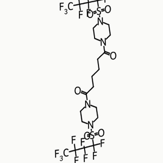 O=C(CCCCC(=O)N1CCN(S(=O)(=O)C(F)(F)C(F)(F)C(F)(F)C(F)(F)F)CC1)N1CCN(S(=O)(=O)C(F)(F)C(F)(F)C(F)(F)C(F)(F)F)CC1